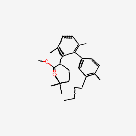 CCCCc1cc(-c2c(C)ccc(C)c2C(CCC(C)(C)C)C(=O)OC)ccc1C